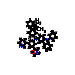 CC1(C)c2ccccc2-c2ccc(N(c3cc(-c4cccnc4)cc(-c4cnco4)c3)c3ccc4c(c3)c3ccccc3n4-c3ccccc3)cc21